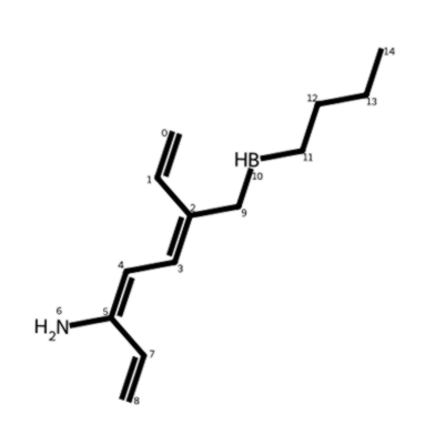 C=C/C(=C\C=C(\N)C=C)CBCCCC